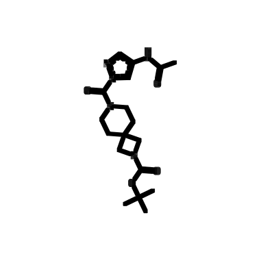 CC(=O)Nc1cnn(C(=O)N2CCC3(CC2)CN(C(=O)OC(C)(C)C)C3)c1